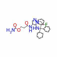 NC(=O)OCCC(=O)Nc1cnn(CCF)c1NC(c1ccccc1)(c1ccccc1)c1ccccc1